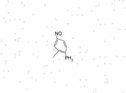 Cc1cc(N=O)ccc1P